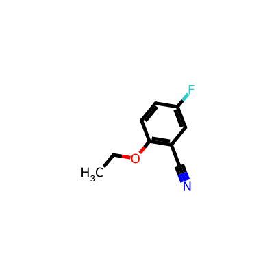 CCOc1ccc(F)cc1C#N